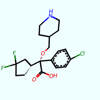 O=C(O)[C@](OCC1CCNCC1)(c1ccc(Cl)cc1)[C@@H]1CCC(F)(F)C1